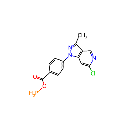 Cc1nn(-c2ccc(C(=O)OP)cc2)c2cc(Cl)ncc12